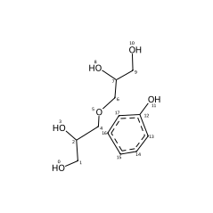 OCC(O)COCC(O)CO.Oc1ccccc1